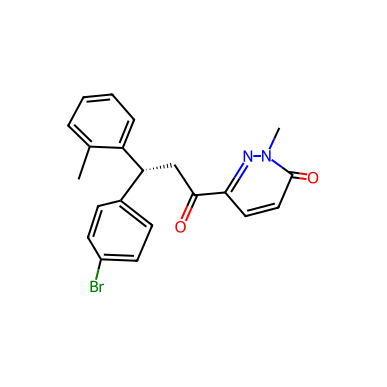 Cc1ccccc1[C@H](CC(=O)c1ccc(=O)n(C)n1)c1ccc(Br)cc1